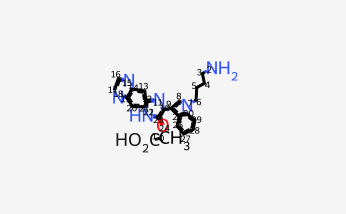 CC(=O)O.NCCCCn1cc(-c2nc3cc4nccnc4cc3[nH]c2=O)c2ccccc21